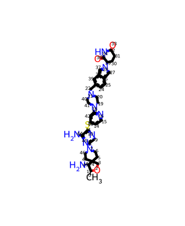 C[C@@H]1OCC2(CCN(c3cnc(Sc4ccnc(N5CCN(Cc6ccc7cn(C8CCC(=O)NC8=O)cc7c6)CC5)c4)c(N)n3)CC2)[C@@H]1N